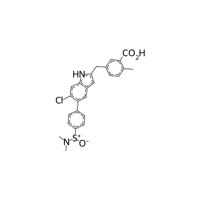 Cc1ccc(Cc2cc3cc(-c4ccc([S+]([O-])N(C)C)cc4)c(Cl)cc3[nH]2)cc1C(=O)O